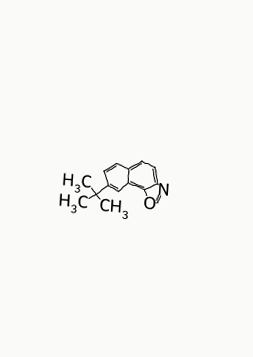 CC(C)(C)c1ccc2ccc3ncoc3c2c1